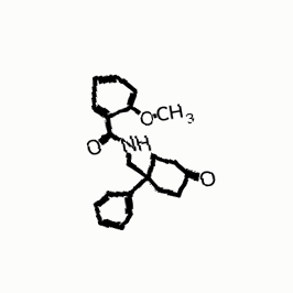 COc1ccccc1C(=O)NCC1(c2ccccc2)CCC(=O)CC1